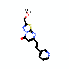 COCc1nn2c(=O)cc(/C=C/c3cccnc3)nc2s1